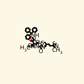 CON=C(C(=O)NC1C(=O)N2C=C(C=Cc3scnc3C)CS[C@@H]12)c1csc(NC(c2ccccc2)(c2ccccc2)c2ccccc2)n1